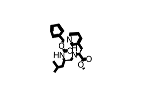 COC(=O)[C@H](Cc1cccnc1)NC[C@@H](CC(C)C)NC(=O)OCc1ccccc1